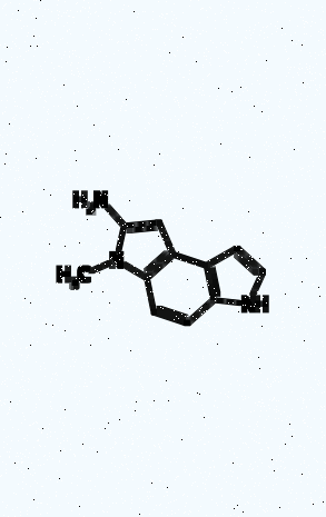 Cn1c(N)cc2c3cc[nH]c3ccc21